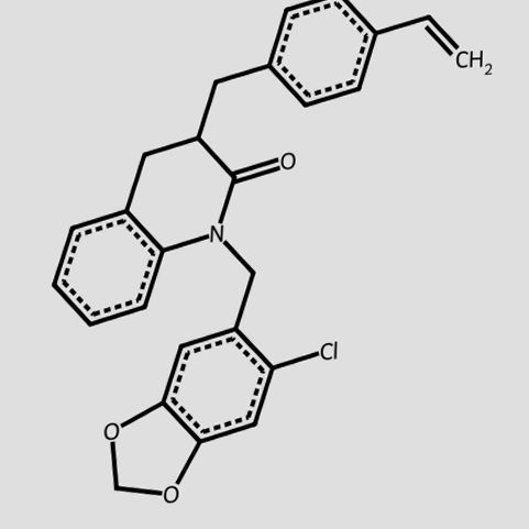 C=Cc1ccc(CC2Cc3ccccc3N(Cc3cc4c(cc3Cl)OCO4)C2=O)cc1